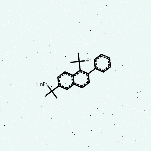 CCCC(C)(C)c1ccc2c(C(C)(C)CC)c(-c3ccccc3)ccc2c1